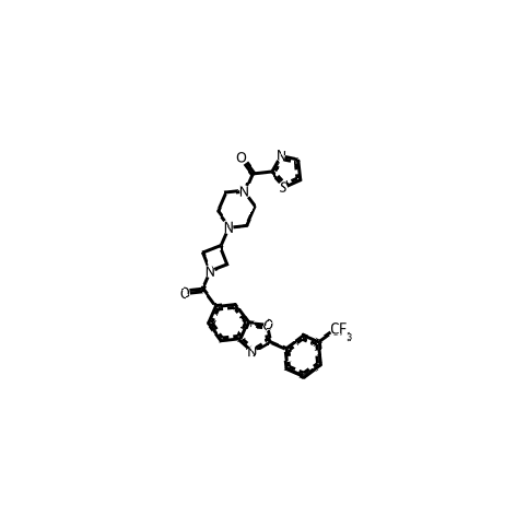 O=C(c1ccc2nc(-c3cccc(C(F)(F)F)c3)oc2c1)N1CC(N2CCN(C(=O)c3nccs3)CC2)C1